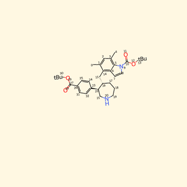 Cc1cc(C)c2c(ccn2C(=O)OC(C)(C)C)c1C[C@@H]1CCCNC[C@H]1c1ccc(C(=O)OC(C)(C)C)cc1